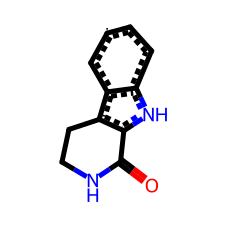 O=C1NCCc2c1[nH]c1cc[c]cc21